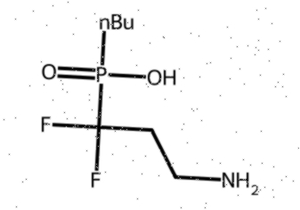 CCCCP(=O)(O)C(F)(F)CCN